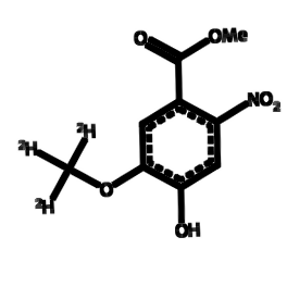 [2H]C([2H])([2H])Oc1cc(C(=O)OC)c([N+](=O)[O-])cc1O